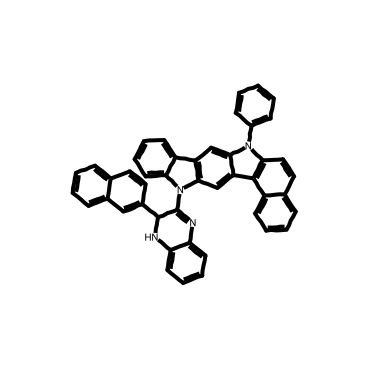 c1ccc(-n2c3cc4c5ccccc5n(C5=Nc6ccccc6NC5c5ccc6ccccc6c5)c4cc3c3c4ccccc4ccc32)cc1